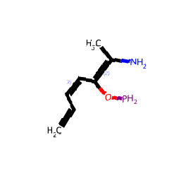 C=C/C=C\C(OP)=C(/C)N